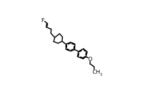 CCCOc1ccc(-c2ccc(C3CCC(CCC=CF)CC3)cc2)cc1